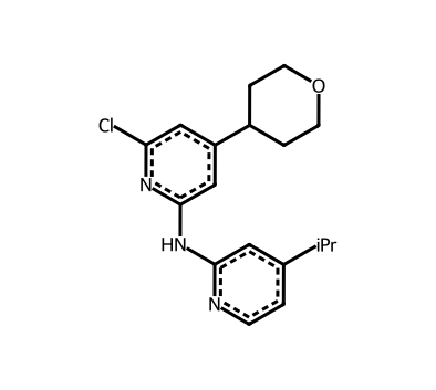 CC(C)c1ccnc(Nc2cc(C3CCOCC3)cc(Cl)n2)c1